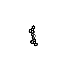 O=C(Cc1ccc2c3c(cccc13)-c1ccccc1-2)Cc1ccc2c3c(cccc13)-c1ccccc1-2